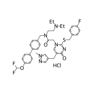 CCN(CC)CCN(Cc1ccc(-c2ccc(OC(F)F)cc2)cc1)C(=O)Cn1cc(Cc2cnn(C)c2)c(=O)nc1SCc1ccc(F)cc1.Cl